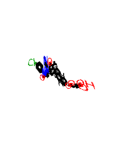 Cc1c([C@@]23CC[C@]4(C)[C@H](CC[C@@H]5[C@@]6(C)CC[C@H](OC(=O)CC(C)(C)C(=O)O)C(C)(C)[C@@H]6CC[C@]54C)C2=C(C(C)C)C(=O)C3)n(CCN(C)C)n(-c2ccc(Cl)cc2)c1=O